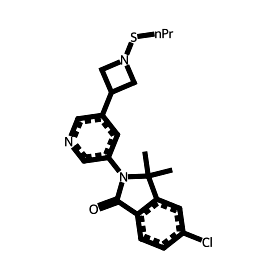 CCCSN1CC(c2cncc(N3C(=O)c4ccc(Cl)cc4C3(C)C)c2)C1